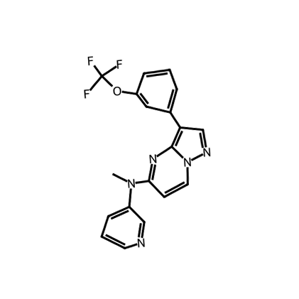 CN(c1cccnc1)c1ccn2ncc(-c3cccc(OC(F)(F)F)c3)c2n1